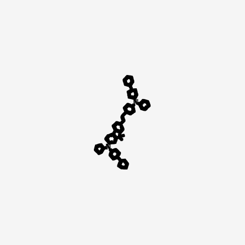 CC1(C)c2cc(/C=C/c3ccc(N(c4ccccc4)c4ccc(-c5ccccc5)cc4)cc3)ccc2-c2ccc(N(c3ccccc3)c3ccc(-c4ccccc4)cc3)cc21